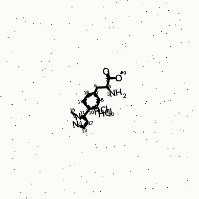 COC(=O)C(N)Cc1ccc(-c2ccnn2C)cc1.Cl.Cl